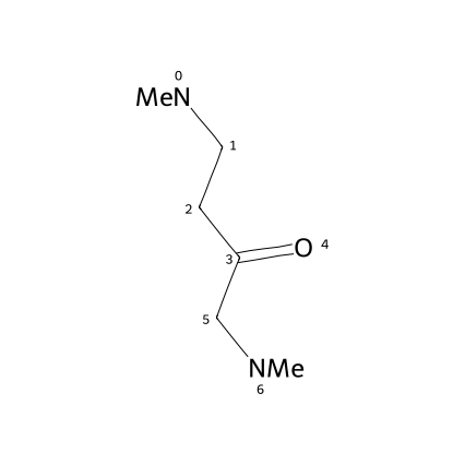 CNCCC(=O)CNC